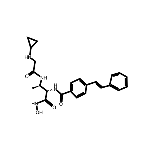 C[C@@H](NC(=O)CNC1CC1)[C@H](NC(=O)c1ccc(/C=C/c2ccccc2)cc1)C(=O)NO